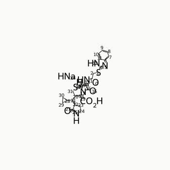 O=C(CSc1nc2ccccc2[nH]1)N[C@@H]1C(=O)N2C(C(=O)O)=C(C(=C3CCNC3=O)C3CC3)CS[C@H]12.[NaH]